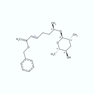 C=C(/C=C/CC[C@@H](C)O[C@@H]1O[C@@H](C)[C@H](O)C[C@H]1C)OCc1ccccc1